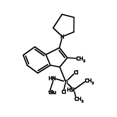 CC1=C(N2CCCC2)c2ccccc2[CH]1[Ti]([Cl])([Cl])([NH]C(C)(C)C)[SiH](C)C